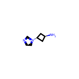 N[C@H]1C[C@H](n2ccnc2)C1